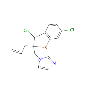 C=CCC1(Cn2ccnc2)Sc2cc(Cl)ccc2C1Cl